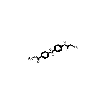 COC(=O)c1ccc(S(=O)(=O)c2ccc(NC(=O)CN)cc2)cc1